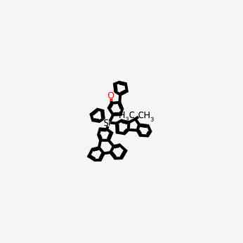 CC1(C)c2ccccc2-c2ccc([Si](c3ccccc3)(c3ccc4c(c3)oc3ccccc34)c3ccc4c5ccccc5c5ccccc5c4c3)cc21